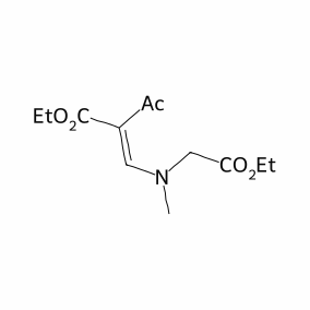 CCOC(=O)CN(C)/C=C(\C(C)=O)C(=O)OCC